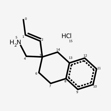 CC=CC1(CN)CCc2ccccc2C1.Cl